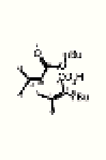 CCCCC(C(=O)O)=C(C)C.CCCCOC(=O)C=C(C)C